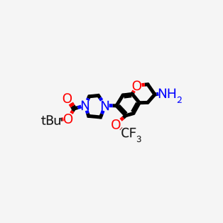 CC(C)(C)OC(=O)N1CCN(c2cc3c(cc2OC(F)(F)F)CC(N)CO3)CC1